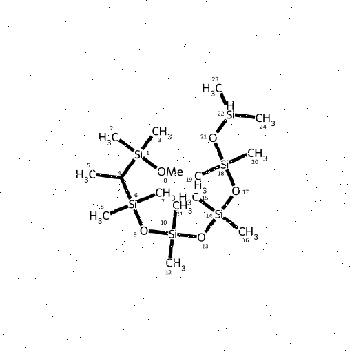 CO[Si](C)(C)C(C)[Si](C)(C)O[Si](C)(C)O[Si](C)(C)O[Si](C)(C)O[SiH](C)C